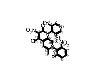 CCc1cncc(CC)c1-n1c(=O)c([N+](=O)[O-])c(Cl)c2cc(C)n(-c3c(F)cccc3[N+](=O)[O-])c(=O)c21